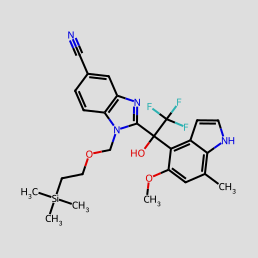 COc1cc(C)c2[nH]ccc2c1C(O)(c1nc2cc(C#N)ccc2n1COCC[Si](C)(C)C)C(F)(F)F